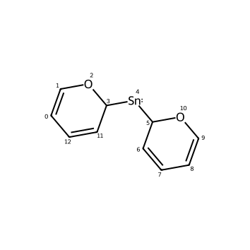 C1=CO[CH]([Sn][CH]2C=CC=CO2)C=C1